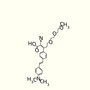 COCCOCCOCCC(=C(C#N)C(=O)O)c1ccc(C=Cc2ccc(N(C)C)cc2)cc1